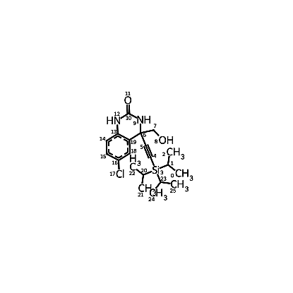 CC(C)[Si](C#CC1(CO)NC(=O)Nc2ccc(Cl)cc21)(C(C)C)C(C)C